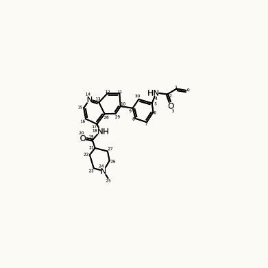 C=CC(=O)Nc1cccc(-c2ccc3nccc(NC(=O)C4CCN(C)CC4)c3c2)c1